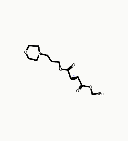 CCC(C)COC(=O)/C=C/C(=O)OCCCN1CCOCC1